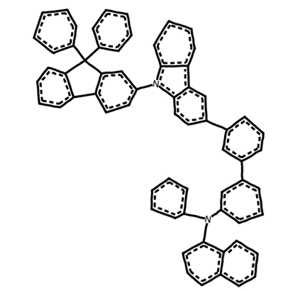 c1ccc(N(c2cccc(-c3cccc(-c4ccc5c(c4)c4ccccc4n5-c4ccc5c(c4)C(c4ccccc4)(c4ccccc4)c4ccccc4-5)c3)c2)c2cccc3ccccc23)cc1